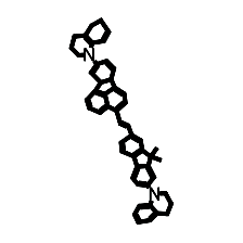 CC1(C)c2cc(/C=C/c3ccc4c5c(cccc35)C3C=C(N5CCCC6=C5C=CCC6)C=CC43)ccc2-c2ccc(N3CCCc4ccccc43)cc21